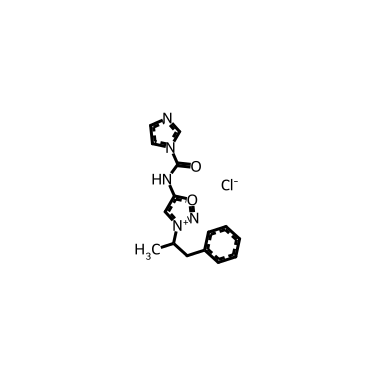 CC(Cc1ccccc1)[n+]1cc(NC(=O)n2ccnc2)on1.[Cl-]